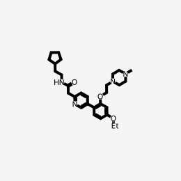 CCOc1ccc(-c2ccc(CC(=O)NCCC3CCCC3)nc2)c(OCCN2CCN(C)CC2)c1